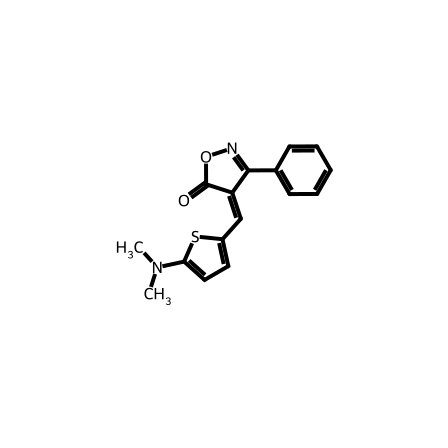 CN(C)c1ccc(C=C2C(=O)ON=C2c2ccccc2)s1